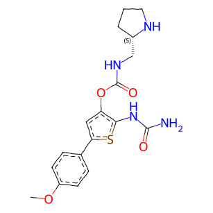 COc1ccc(-c2cc(OC(=O)NC[C@@H]3CCCN3)c(NC(N)=O)s2)cc1